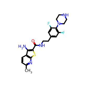 Cc1ccc2c(N)c(C(=O)NCCc3cc(F)c(N4CCNCC4)c(F)c3)sc2n1